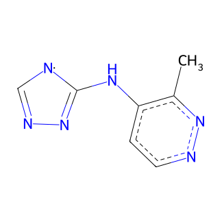 Cc1nnccc1NC1=NN=C[N]1